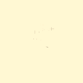 CC(C)[C@H](C(=O)CP(=O)(O)O)c1ccccc1